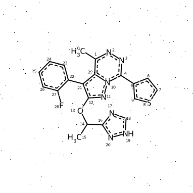 Cc1nnc(-c2ccsc2)n2nc(OC(C)c3nc[nH]n3)c(-c3ccccc3F)c12